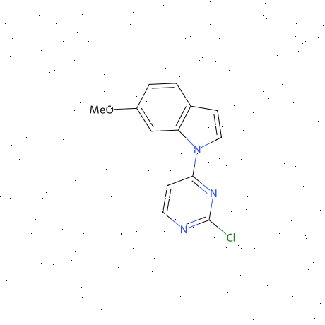 COc1ccc2ccn(-c3ccnc(Cl)n3)c2c1